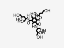 O=C(NC(CO)CC(O)CO)c1c(I)c(C(=O)NC(CO)CC(O)CO)c(I)c(N(O)C(=O)CCCO)c1I